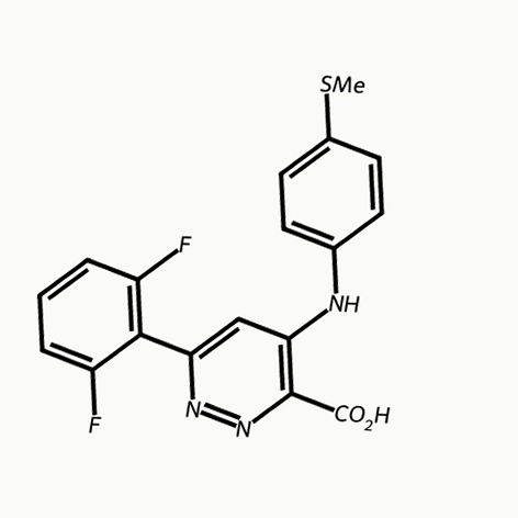 CSc1ccc(Nc2cc(-c3c(F)cccc3F)nnc2C(=O)O)cc1